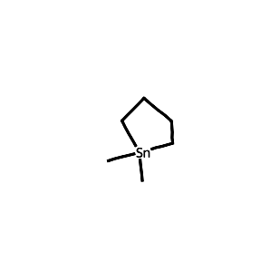 [CH3][Sn]1([CH3])[CH2]CC[CH2]1